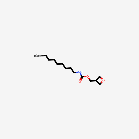 CCCCCCCCCCCCCCCCCCNC(=O)OCC1COC1